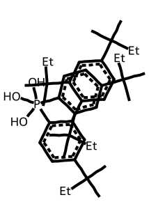 CCC(C)(C)c1ccc(P(O)(O)(O)c2ccc(C(C)(C)CC)cc2C(C)(C)CC)c(-c2ccc(C(C)(C)CC)cc2C(C)(C)CC)c1